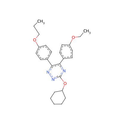 CCCOc1ccc(-c2nnc(OC3CCCCC3)nc2-c2ccc(OCC)cc2)cc1